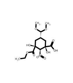 CCOC(=O)[C@]1(O)C[C@H](C(OC)OC)C[C@](O)(C(=O)O)[C@H]1[N+](=O)[O-]